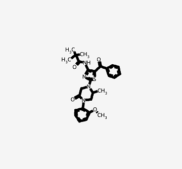 COc1ccccc1N1CC(C)N(c2nc(NC(=O)C(C)(C)C)c(C(=O)c3ccccc3)s2)CC1=O